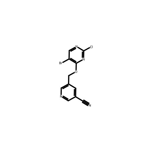 N#Cc1cncc(COc2nc(Cl)ncc2Br)c1